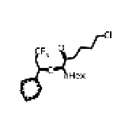 CCCCCCC(=C=C(CC(F)(F)F)c1ccccc1)C(=O)CCCCCl